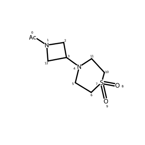 CC(=O)N1CC(N2CCS(=O)(=O)CC2)C1